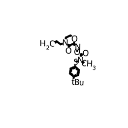 C=CCN1CCOC(=NOC(=O)N(C)Sc2ccc(C(C)(C)C)cc2)C1=O